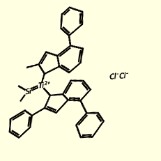 CC1=Cc2c(-c3ccccc3)cccc2[CH]1[Ti+2]([CH]1C(c2ccccc2)=Cc2c(-c3ccccc3)cccc21)=[Si](C)C.[Cl-].[Cl-]